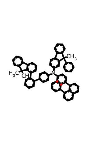 CC1(C)c2ccccc2-c2cccc(-c3ccccc3-c3ccc(N(c4ccc(-c5cccc6cccc(-c7ccccc7)c56)cc4)c4ccc5c(c4)C(C)(c4ccccc4)c4ccccc4-5)cc3)c21